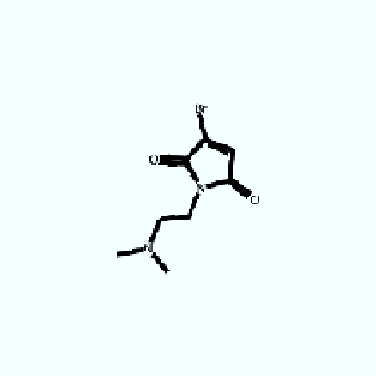 CN(C)CCN1C(=O)C=C(Br)C1=O